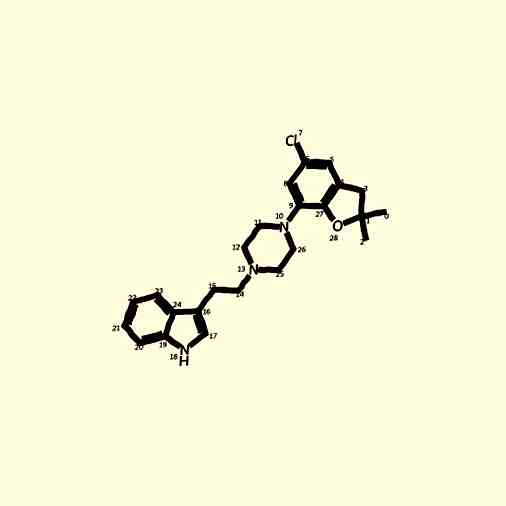 CC1(C)Cc2cc(Cl)cc(N3CCN(CCc4c[nH]c5ccccc45)CC3)c2O1